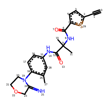 C#Cc1ccc(C(=O)NC(C)(C)C(=O)Nc2ccc(N3CCOCC3=N)c(C)c2)s1